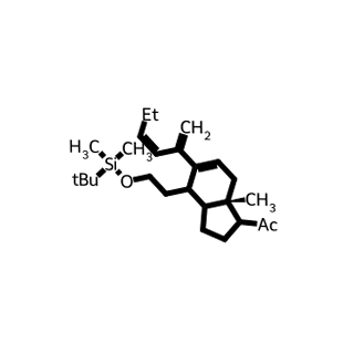 C=C(/C=C\CC)C1=CC[C@]2(C)C(C(C)=O)CCC2C1CCO[Si](C)(C)C(C)(C)C